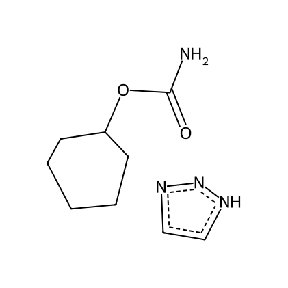 NC(=O)OC1CCCCC1.c1c[nH]nn1